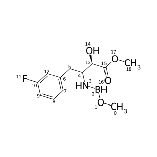 COBNC(Cc1cccc(F)c1)[C@@H](O)C(=O)OC